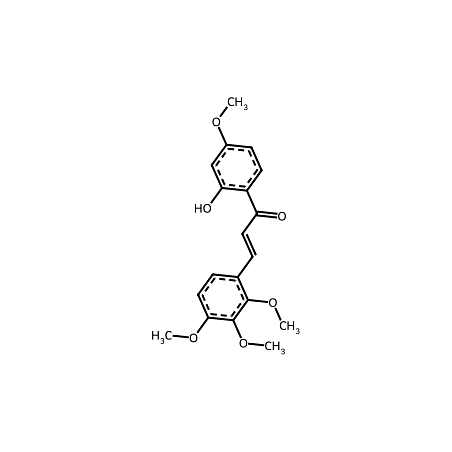 COc1ccc(C(=O)C=Cc2ccc(OC)c(OC)c2OC)c(O)c1